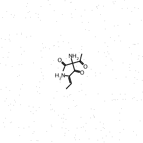 CC=C(N)C(=O)C(N)(C(C)=O)C(C)=O